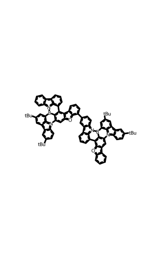 CC(C)(C)c1ccc2c(c1)c1cc(C(C)(C)C)cc3c1n2-c1cc2c(oc4ccccc42)c2c1B3n1c3ccc(-c4cccc5c4oc4cc6c7c(c45)-c4cccc5c8ccccc8n(c45)B7c4cc(C(C)(C)C)cc5c7cc(C(C)(C)C)ccc7n-6c45)cc3c3cccc-2c31